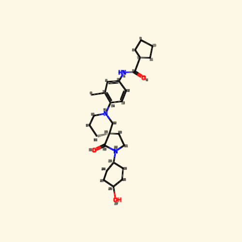 Cc1cc(NC(=O)C2CCCC2)ccc1N1CCC[C@@]2(CCN(C3CCC(O)CC3)C2=O)C1